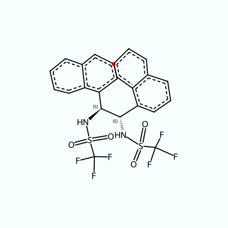 O=S(=O)(N[C@@H](c1cccc2ccccc12)[C@@H](NS(=O)(=O)C(F)(F)F)c1cccc2ccccc12)C(F)(F)F